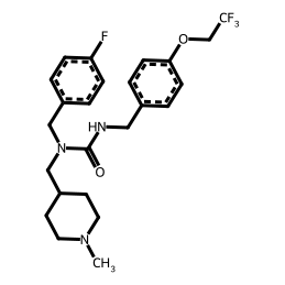 CN1CCC(CN(Cc2ccc(F)cc2)C(=O)NCc2ccc(OCC(F)(F)F)cc2)CC1